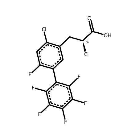 O=C(O)[C@@H](Cl)Cc1cc(-c2c(F)c(F)c(F)c(F)c2F)c(F)cc1Cl